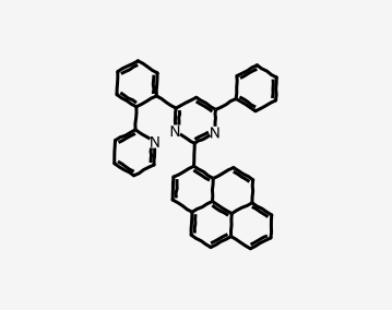 c1ccc(-c2cc(-c3ccccc3-c3ccccn3)nc(-c3ccc4ccc5cccc6ccc3c4c56)n2)cc1